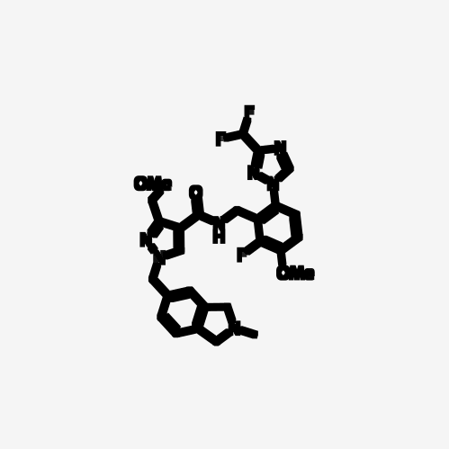 COCc1nn(Cc2ccc3c(c2)CN(C)C3)cc1C(=O)NCc1c(-n2cnc(C(F)F)n2)ccc(OC)c1F